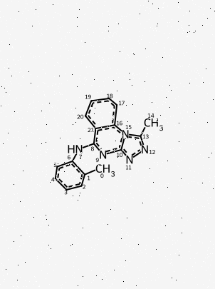 Cc1ccccc1Nc1nc2nnc(C)n2c2ccccc12